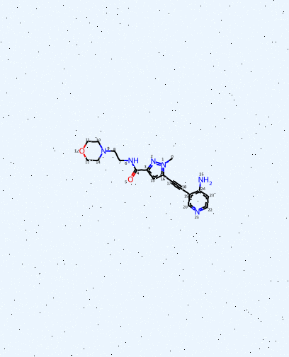 Cn1nc(C(=O)NCCN2CCOCC2)cc1C#Cc1cnccc1N